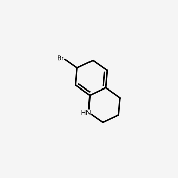 BrC1C=C2NCCCC2=CC1